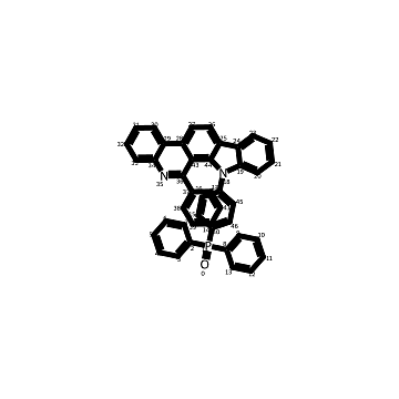 O=P(c1ccccc1)(c1ccccc1)c1ccc(-n2c3ccccc3c3ccc4c5ccccc5nc(-c5ccccc5)c4c32)cc1